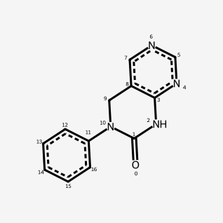 O=C1Nc2ncncc2CN1c1ccccc1